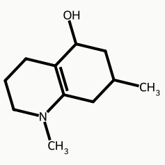 CC1CC2=C(CCCN2C)C(O)C1